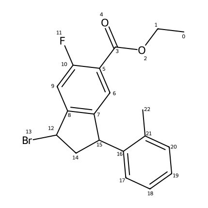 CCOC(=O)c1cc2c(cc1F)C(Br)CC2c1ccccc1C